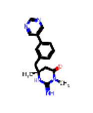 CN1C(=N)N[C@](C)(Cc2cccc(-c3cncnc3)c2)CC1=O